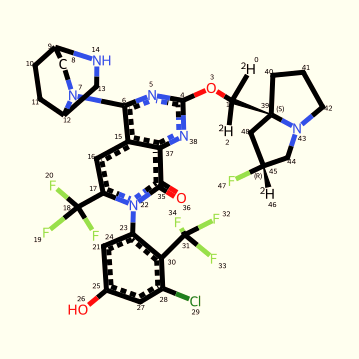 [2H]C([2H])(Oc1nc(N2CC3CCC2CN3)c2cc(C(F)(F)F)n(-c3cc(O)cc(Cl)c3C(F)(F)F)c(=O)c2n1)[C@@]12CCCN1C[C@]([2H])(F)C2